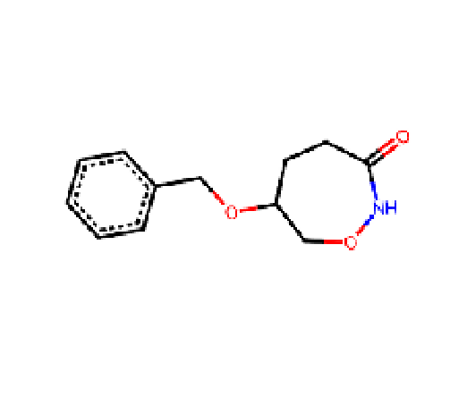 O=C1CCC(OCc2ccccc2)CON1